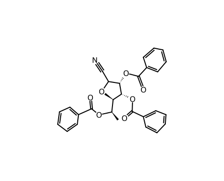 C[C@@H](OC(=O)c1ccccc1)[C@H]1OC(C#N)[C@H](OC(=O)c2ccccc2)[C@@H]1OC(=O)c1ccccc1